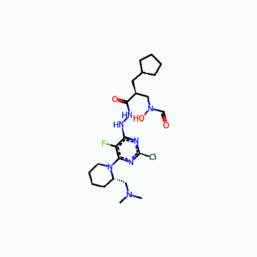 CN(C)C[C@@H]1CCCCN1c1nc(Cl)nc(NNC(=O)[C@@H](CC2CCCC2)CN(O)C=O)c1F